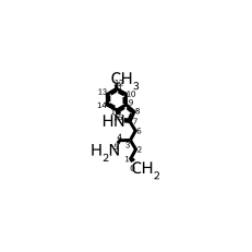 C=CCC(CN)Cc1cc2cc(C)ccc2[nH]1